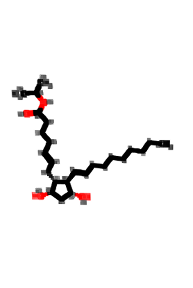 CCCCCCCCC=C[C@@H]1[C@@H](CC=CCCCC(=O)OC(C)C)[C@@H](O)C[C@H]1O